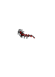 C/C=C/CCc1ccc(-c2ccc(-c3ccc(-c4cc(F)c(C(F)(F)Oc5cc(F)c(F)c(F)c5)c(F)c4)c(F)c3)c(F)c2)cc1